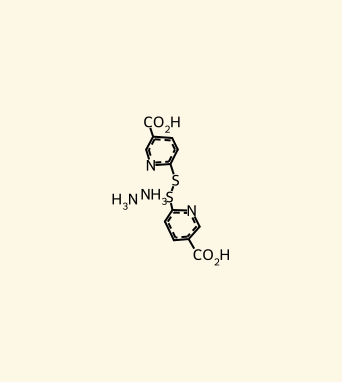 N.N.O=C(O)c1ccc(SSc2ccc(C(=O)O)cn2)nc1